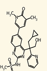 Cc1cc(-c2ccc3nc(NS(C)(=O)=O)nc(C(CO)(CC4CC4)c4ccccn4)c3c2)cn(C)c1=O